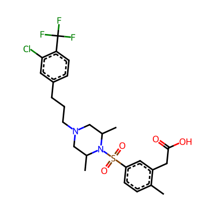 Cc1ccc(S(=O)(=O)N2C(C)CN(CCCc3ccc(C(F)(F)F)c(Cl)c3)CC2C)cc1CC(=O)O